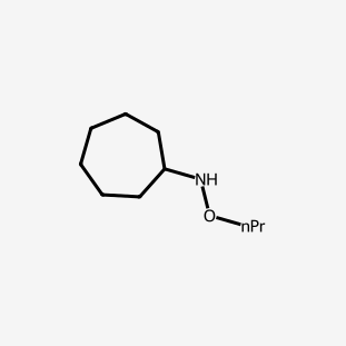 CCCONC1CCCCCC1